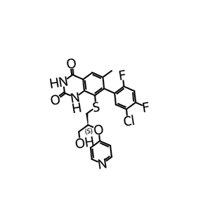 Cc1cc2c(=O)[nH]c(=O)[nH]c2c(SC[C@H](CO)Oc2ccncc2)c1-c1cc(Cl)c(F)cc1F